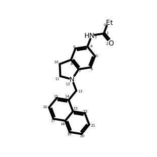 CCC(=O)Nc1ccc2c(c1)CCN2Cc1cccc2ccccc12